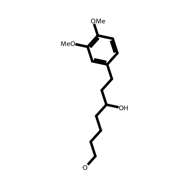 COc1ccc(CCC(O)CCCC[O])cc1OC